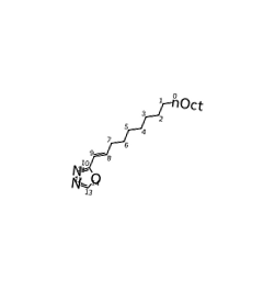 CCCCCCCCCCCCCCCC=Cc1nnco1